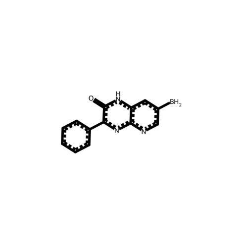 Bc1cnc2nc(-c3ccccc3)c(=O)[nH]c2c1